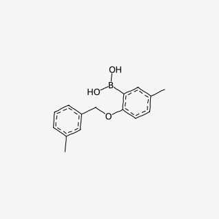 Cc1cccc(COc2ccc(C)cc2B(O)O)c1